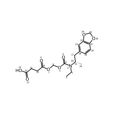 CCN(C(=O)OCOC(=O)CCC(=O)O)[C@@H](C)Cc1ccc2c(c1)OCO2